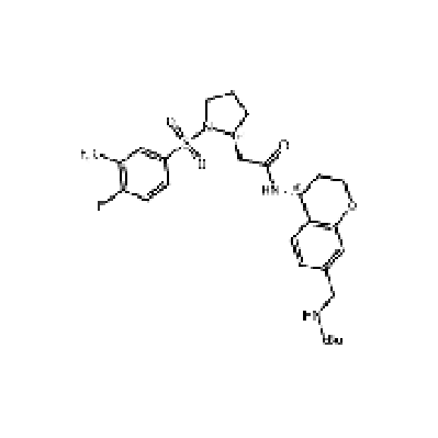 CC(C)(C)NCc1ccc2c(c1)OCC[C@H]2NC(=O)C[C@@H]1CCCN1S(=O)(=O)c1ccc(F)c(C(F)(F)F)c1